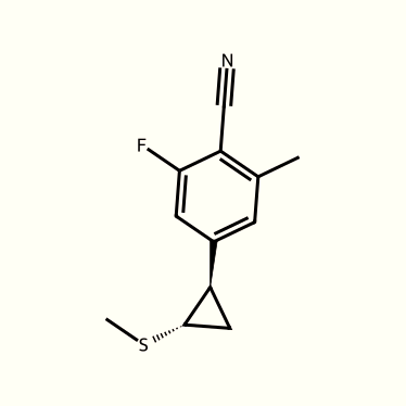 CS[C@H]1C[C@@H]1c1cc(C)c(C#N)c(F)c1